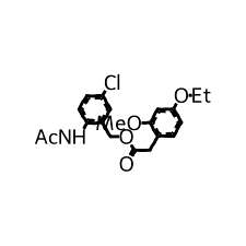 CCOc1ccc(CC(=O)OCc2cc(Cl)ccc2NC(C)=O)c(OC)c1